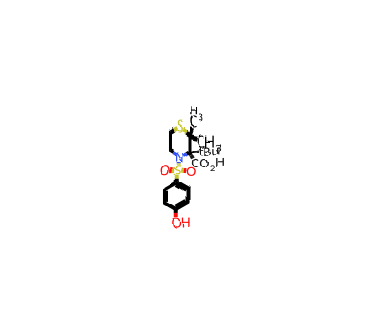 CC(C)(C)[C@@]1(C(=O)O)N(S(=O)(=O)c2ccc(O)cc2)CCSC1(C)C